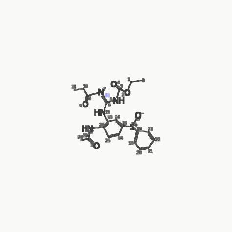 CCOC(=O)N/C(=N/C(=O)CC)Nc1cc([S+]([O-])c2ccccc2)ccc1NC(C)=O